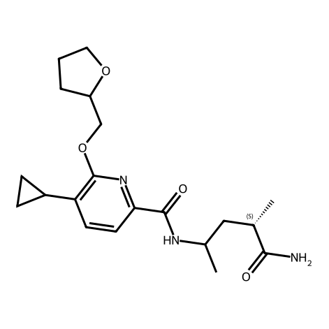 CC(C[C@H](C)C(N)=O)NC(=O)c1ccc(C2CC2)c(OCC2CCCO2)n1